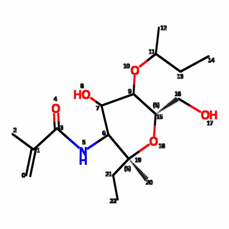 C=C(C)C(=O)NC1C(O)C(OC(C)CC)[C@H](CO)O[C@@]1(C)CC